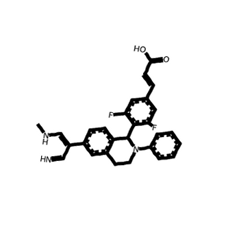 CN/C=C(\C=N)c1ccc2c(c1)CCN(c1ccccc1)C2c1c(F)cc(/C=C/C(=O)O)cc1F